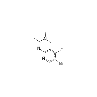 CC(=Nc1cc(F)c(Br)cn1)N(C)C